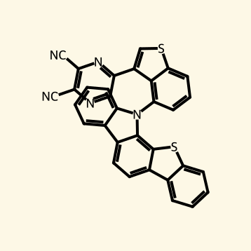 N#Cc1ncc(-c2csc3cccc(-n4c5ccccc5c5ccc6c7ccccc7sc6c54)c23)nc1C#N